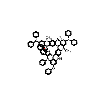 CN1c2cc3c(cc2B2c4sc5ccccc5c4Oc4cc(N(c5ccccc5)c5ccccc5)cc1c42)B1c2cc4c(cc2N(C)c2cc(N(c5ccccc5)c5ccccc5)cc(c21)N3C)Nc1cc(Oc2ccccc2)cc2c1B4c1sc3ccccc3c1N2c1ccccc1